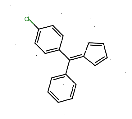 Clc1ccc(C(=C2[C]=CC=C2)c2ccccc2)cc1